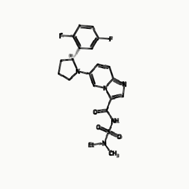 CCN(C)S(=O)(=O)NC(=O)c1cnc2ccc(N3CCC[C@@H]3c3cc(F)ccc3F)cn12